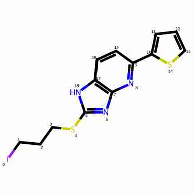 ICCCSc1nc2nc(-c3cccs3)ccc2[nH]1